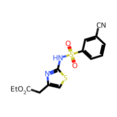 CCOC(=O)Cc1csc(NS(=O)(=O)c2cccc(C#N)c2)n1